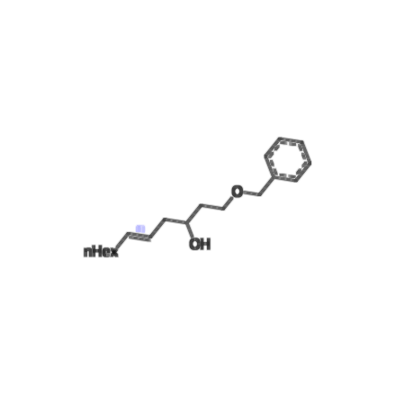 CCCCCC/C=C/CC(O)CCOCc1ccccc1